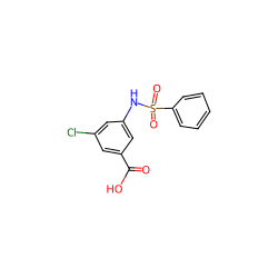 O=C(O)c1cc(Cl)cc(NS(=O)(=O)c2ccccc2)c1